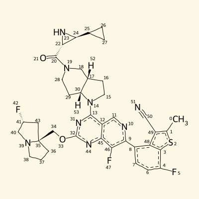 Cc1sc2c(F)ccc(-c3ncc4c(N5CC[C@H]6CN(C(=O)[C@@H]7N[C@H]7C7CC7)CC[C@H]65)nc(OC[C@@]56CCCN5C[C@H](F)C6)nc4c3F)c2c1C#N